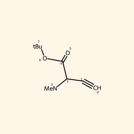 C#CC(NC)C(=O)OC(C)(C)C